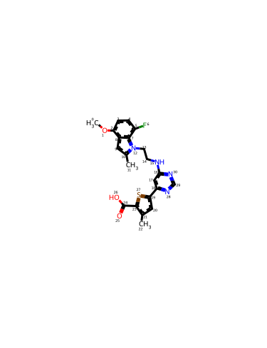 COc1ccc(F)c2c1cc(C)n2CCNc1cc(-c2cc(C)c(C(=O)O)s2)ncn1